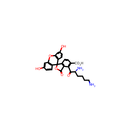 NCCCC[C@H](N)C(=O)c1c(C(=O)O)ccc2c1C(=O)OC21c2ccc(O)cc2Oc2cc(O)ccc21